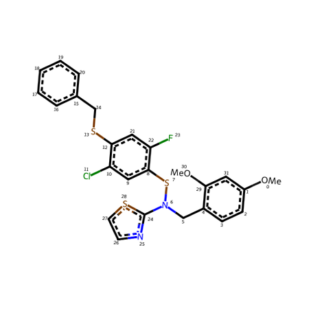 COc1ccc(CN(Sc2cc(Cl)c(SCc3ccccc3)cc2F)c2nccs2)c(OC)c1